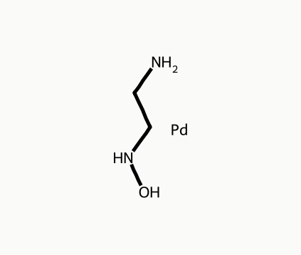 NCCNO.[Pd]